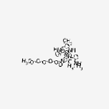 CCc1ccc(NC(=O)CN(Cc2ccccc2CNC)C(=O)C2(CC)CCN(C(=O)COCCOCCOCCOCCOC)CC2)cc1CC(=O)Nc1ccccn1